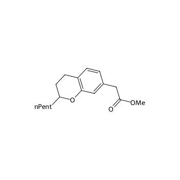 CCCCCC1CCc2ccc(CC(=O)OC)cc2O1